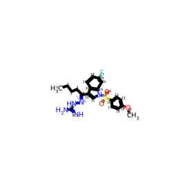 CCCC/C(=N\NC(=N)N)c1cn(S(=O)(=O)c2ccc(OC)cc2)c2cc(F)ccc12